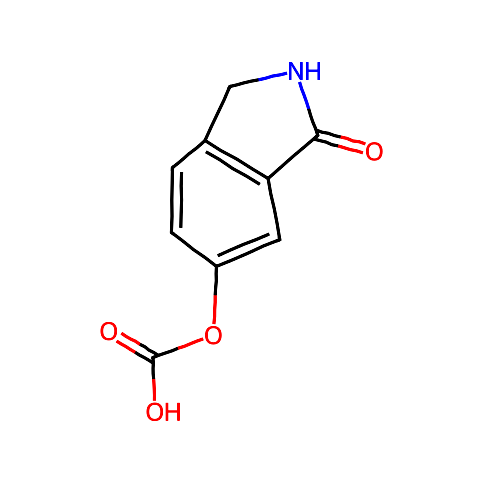 O=C(O)Oc1ccc2c(c1)C(=O)NC2